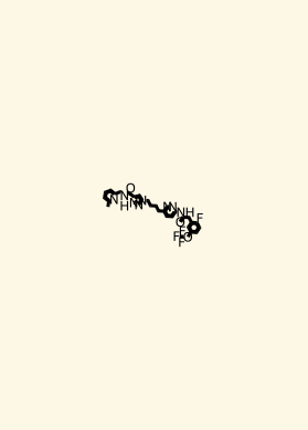 Cc1cccc(CNC(=O)c2cn(CCCCc3ccc(NC(=O)Cc4cc(OC(F)(F)F)ccc4F)nn3)nn2)n1